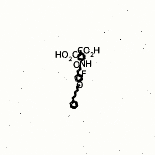 O=C(CCc1ccc(OCCCCCc2ccccc2)cc1F)Nc1ccc(C(=O)O)c(C(=O)O)c1